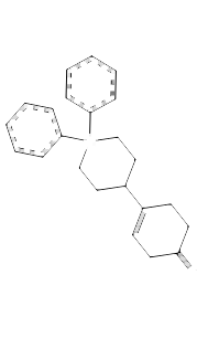 O=C1CC=C(C2CC[Si](c3ccccc3)(c3ccccc3)CC2)CC1